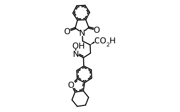 O=C(O)[C@@H](CC(=NO)c1ccc2c3c(oc2c1)CCCC3)CN1C(=O)c2ccccc2C1=O